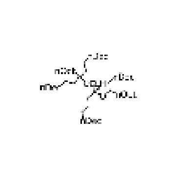 CCCCCCCCCCCCC(CCCCCCCC)(CCCCCCCCCCCC)C(=O)O.CCCCCCCCCCCCCC(=O)OC(CCCCCCCC)CCCCCCCCCCC